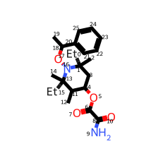 CCC1(C)CC(OC(=O)C(N)=O)C(C)C(C)(CC)N1OC(C)c1ccccc1